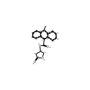 Cc1c2ccccc2c(C(=O)OC2COC(=O)C2)c2ccccc12